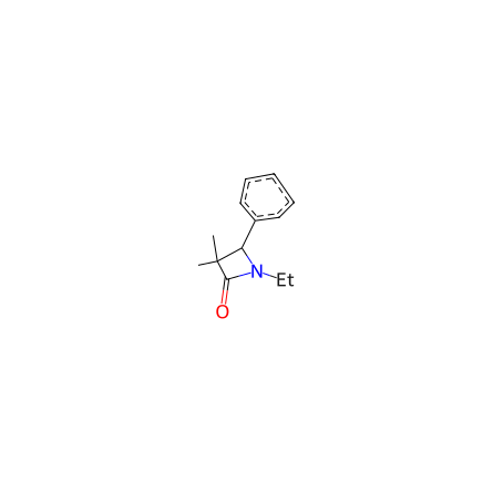 CCN1C(=O)C(C)(C)C1c1ccccc1